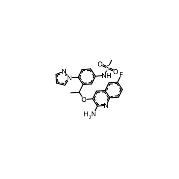 CC(Oc1cc2cc(F)ccc2nc1N)c1cc(NS(C)(=O)=O)ccc1-n1cccn1